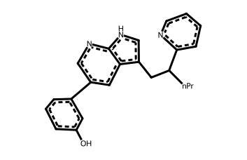 CCCC(Cc1c[nH]c2ncc(-c3cccc(O)c3)cc12)c1ccccn1